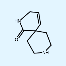 O=C1NCC=CC12CCNCC2